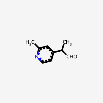 Cc1cc(C(C)C=O)ccn1